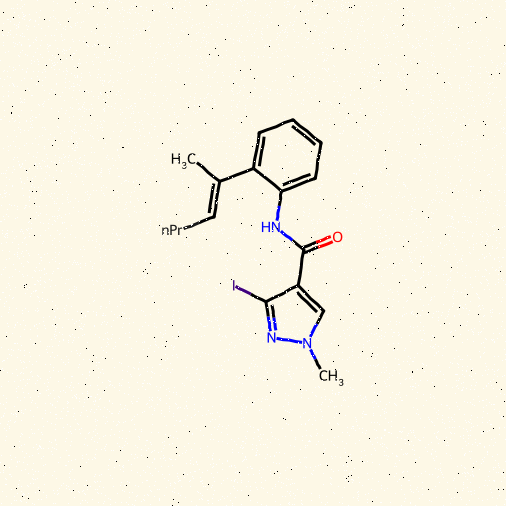 CCCC=C(C)c1ccccc1NC(=O)c1cn(C)nc1I